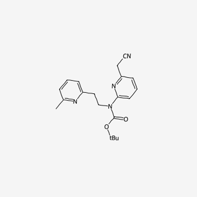 Cc1cccc(CCN(C(=O)OC(C)(C)C)c2cccc(CC#N)n2)n1